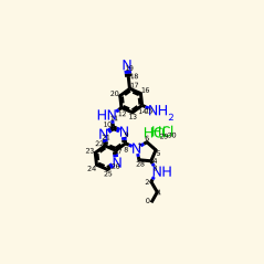 CCCNC1CCN(c2nc(Nc3cc(N)cc(C#N)c3)nc3cccnc23)C1.Cl.Cl